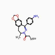 CNCC(=O)N1N=C(c2ccc(N)cc2)c2cc3c(cc2CC1C)OCO3